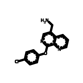 NCc1cnc(Oc2ccc(Cl)cc2)c2ncccc12